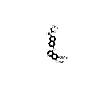 C=CC(=O)Nc1ccc2cc(Oc3ccnc4cc(OC)c(OC)cc34)ccc2c1